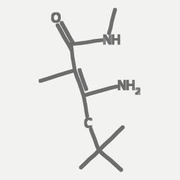 CNC(=O)C(C)=C(N)CC(C)(C)C